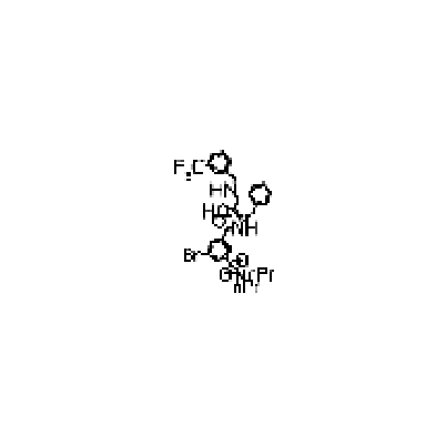 CCCN(CCC)S(=O)(=O)c1cc(Br)cc(C(=O)N[C@@H](Cc2ccccc2)[C@H](O)CNCc2cccc(C(F)(F)F)c2)c1